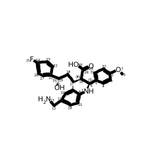 COc1ccc([C@@H](Nc2ccc(CN)cc2)[C@@H](CC[C@H](O)c2ccc(F)cc2)C(=O)O)cc1